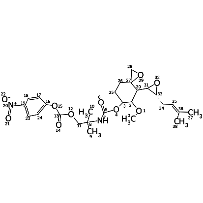 COC1C(OC(=O)NC(C)(C)COC(=O)Oc2ccc([N+](=O)[O-])cc2)CCC2(CO2)C1C1O[C@@H]1CC=C(C)C